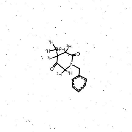 [2H]C1([2H])C(=O)C([2H])(C([2H])([2H])[2H])C([2H])([2H])C(=O)N1Cc1ccccc1